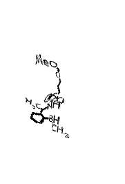 CBc1ccccc1[C@@H](C)NS(=O)(=O)CCCOCOC